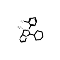 Cc1ccccc1N1C(C2CCCCC2)N2C=COC2[C@@H]1C